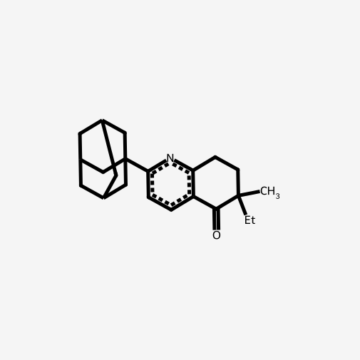 CCC1(C)CCc2nc(C34CC5CC(CC(C5)C3)C4)ccc2C1=O